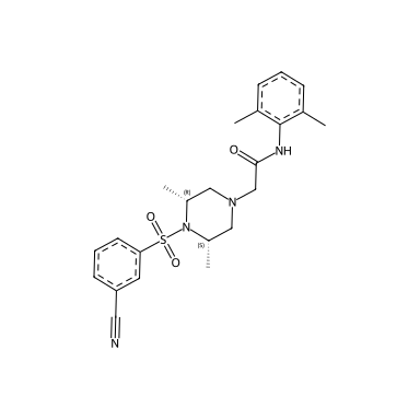 Cc1cccc(C)c1NC(=O)CN1C[C@@H](C)N(S(=O)(=O)c2cccc(C#N)c2)[C@@H](C)C1